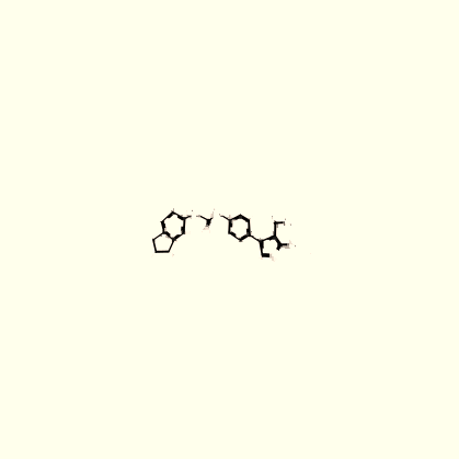 NC(=O)c1c(-c2ccc(NC(=O)Nc3ccc4c(c3)CCC4)cc2)csc1N